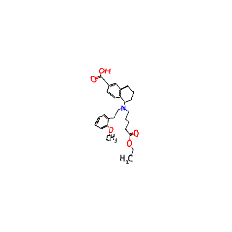 CCOC(=O)CCCCN(CCc1ccccc1OC)C1CCCc2cc(C(=O)O)ccc21